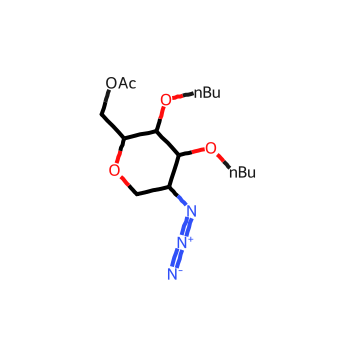 CCCCOC1C(N=[N+]=[N-])COC(COC(C)=O)C1OCCCC